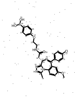 COc1ccc2c(c1)C(c1ccc(Cl)cc1)=N[C@@H](CC(=O)NCCOc1ccc(B(O)O)cc1)c1nnc(C)n1-2